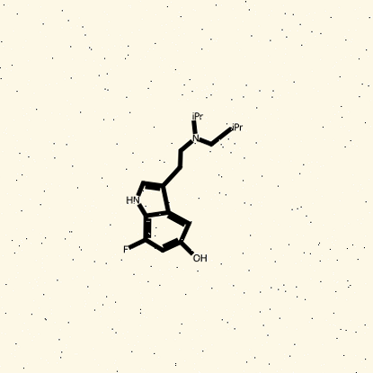 CC(C)CN(CCc1c[nH]c2c(F)cc(O)cc12)C(C)C